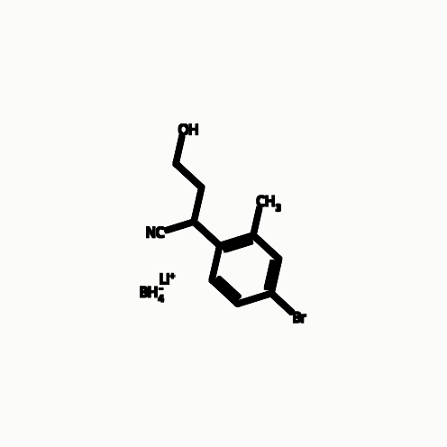 Cc1cc(Br)ccc1C(C#N)CCO.[BH4-].[Li+]